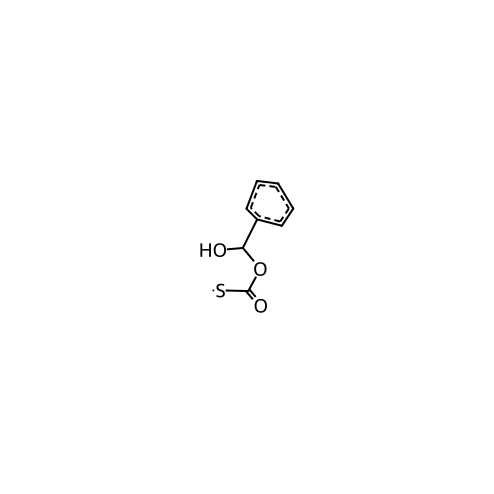 O=C([S])OC(O)c1ccccc1